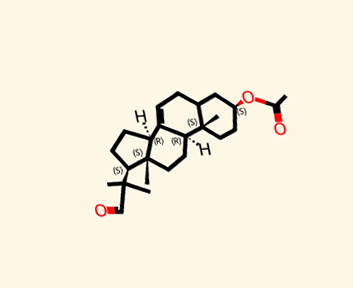 CC(=O)O[C@H]1CC[C@@]2(C)C(CC=C3[C@@H]4CC[C@H](C(C)(C)C=O)[C@@]4(C)CC[C@@H]32)C1